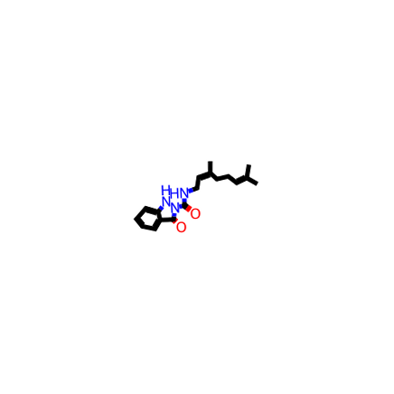 CC(C)=CCCC(C)=CCNC(=O)n1[nH]c2ccccc2c1=O